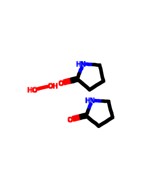 O=C1CCCN1.O=C1CCCN1.OO